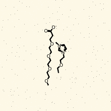 CCOCC[n+]1ccn(C)c1.COCCOCCOCCOCCC(=O)[O-]